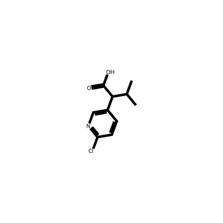 CC(C)C(C(=O)O)c1ccc(Cl)nc1